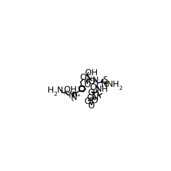 C[n+]1cc(-c2ccc3c(c2)CC[C@H]([C@](C)(O/N=C(\C(=O)N[C@@H]2C(=O)N(OS(=O)(=O)[O-])C2(C)C)c2csc(N)n2)C(=O)O)O3)cn1C[C@@H](O)CN